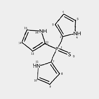 S=P(c1ccc[nH]1)(c1ccc[nH]1)c1ccc[nH]1